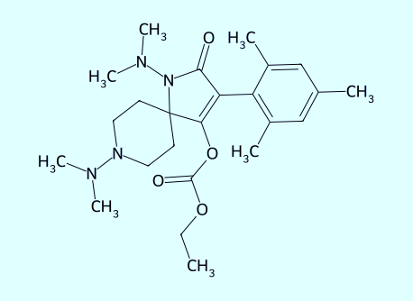 CCOC(=O)OC1=C(c2c(C)cc(C)cc2C)C(=O)N(N(C)C)C12CCN(N(C)C)CC2